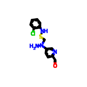 NN(CSNc1ccccc1Cl)c1ccc(C=O)nc1